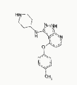 Cc1ccc(Oc2ccnc3[nH]nc(NC4CCNCC4)c23)cc1